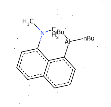 CCC[CH2][Al]([CH2]CCC)[c]1cccc2cccc(N(C)C)c12